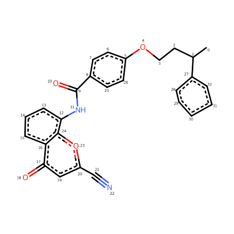 CC(CCOc1ccc(C(=O)Nc2cccc3c(=O)cc(C#N)oc23)cc1)c1ccccc1